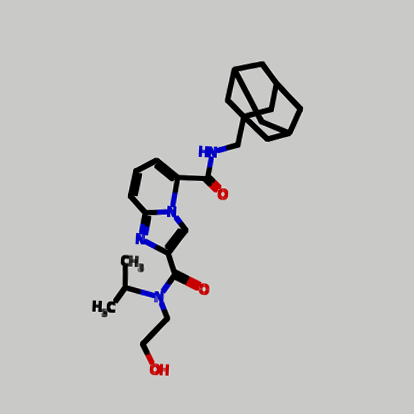 CC(C)N(CCO)C(=O)c1cn2c(C(=O)NCC34CC5CC(CC(C5)C3)C4)cccc2n1